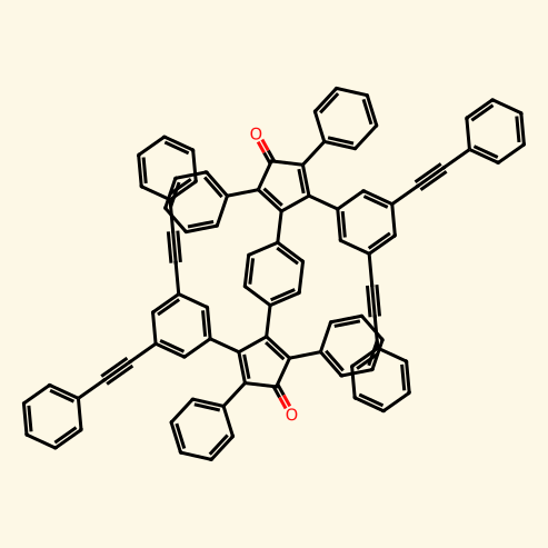 O=C1C(c2ccccc2)=C(c2ccc(C3=C(c4ccccc4)C(=O)C(c4ccccc4)=C3c3cc(C#Cc4ccccc4)cc(C#Cc4ccccc4)c3)cc2)C(c2cc(C#Cc3ccccc3)cc(C#Cc3ccccc3)c2)=C1c1ccccc1